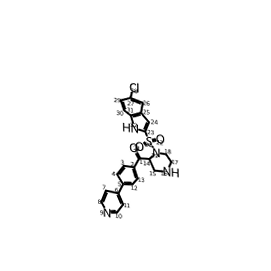 O=C(c1ccc(-c2ccncc2)cc1)C1CNCCN1S(=O)(=O)c1cc2cc(Cl)ccc2[nH]1